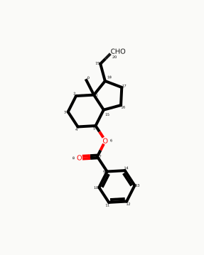 CC12CCCC(OC(=O)c3ccccc3)C1CCC2CC=O